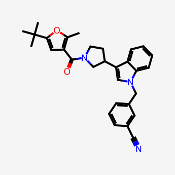 Cc1oc(C(C)(C)C)cc1C(=O)N1CCC(c2cn(Cc3cccc(C#N)c3)c3ccccc23)C1